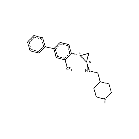 FC(F)(F)c1cc(-c2ccccc2)ccc1[C@@H]1C[C@H]1NCC1CCNCC1